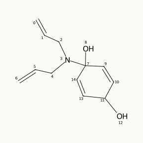 C=CCN(CC=C)C1(O)C=CC(O)C=C1